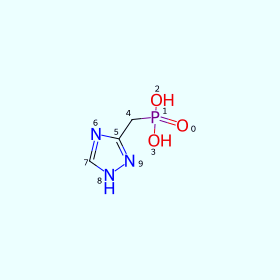 O=P(O)(O)Cc1nc[nH]n1